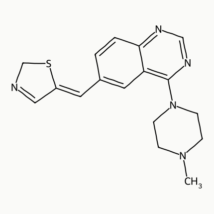 CN1CCN(c2ncnc3ccc(C=C4C=NCS4)cc23)CC1